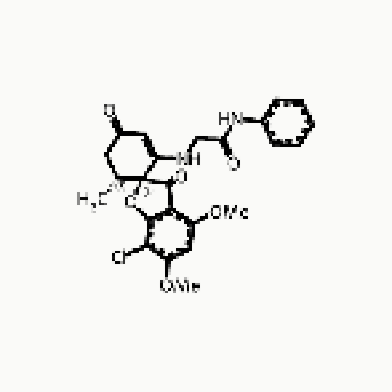 COc1cc(OC)c2c(c1Cl)O[C@]1(C2=O)C(NCC(=O)Nc2ccccc2)=CC(=O)C[C@H]1C